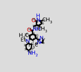 CCN(c1cc(-c2nccn2C)cc(C(=O)NCc2c(C)cc(C)[nH]c2=O)c1C)C1CCC(N)CC1